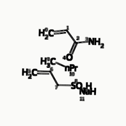 C=CC(N)=O.C=CCS(=O)(=O)O.CCCC.[NaH]